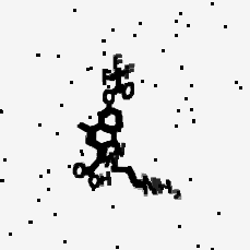 Cc1cc2c(C(=O)O)n(CCCN)nc2c2ccc(OC(=O)C(F)(F)F)cc12